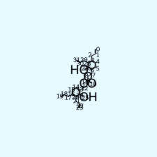 C=CCc1ccc(COC(=O)OCc2ccc(CC=C)c(CC=C)c2O)c(O)c1CC=C